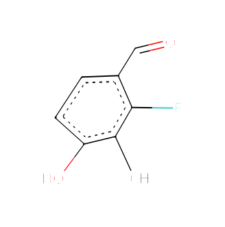 Cc1c(O)ccc(C=O)c1F